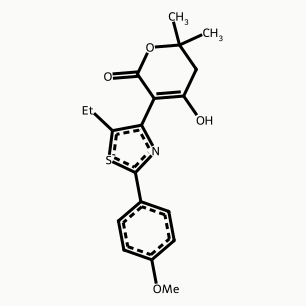 CCc1sc(-c2ccc(OC)cc2)nc1C1=C(O)CC(C)(C)OC1=O